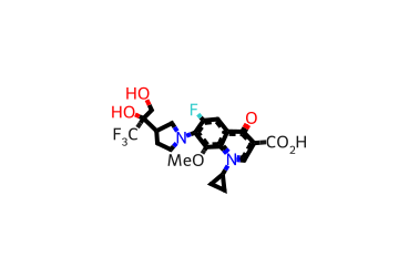 COc1c(N2CCC(C(O)(CO)C(F)(F)F)C2)c(F)cc2c(=O)c(C(=O)O)cn(C3CC3)c12